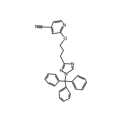 N#Cc1ccnc(OCCCc2ncn(C(c3ccccc3)(c3ccccc3)c3ccccc3)n2)c1